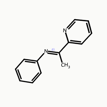 C/C(=N\c1ccccc1)c1ccccn1